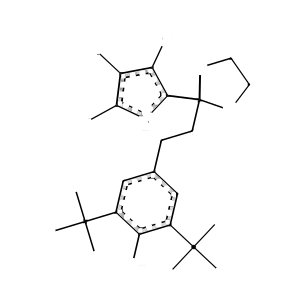 CC(C)(C)c1cc(CCC2(c3[nH]c(Cl)c(Cl)c3Cl)OCCO2)cc(C(C)(C)C)c1O